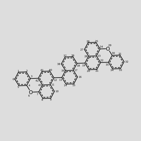 c1ccc2c(c1)Oc1cccc3c(-c4cccc5c(-c6ccc7c8c(cccc68)Oc6ccccc6-7)cccc45)ccc-2c13